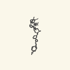 Cc1onc(NC(=O)N2CCC(=Cc3cccc(OCCc4ccc(F)cc4)c3)C(C)C2)c1C